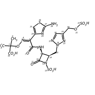 CC(C)(O/N=C(\C(=O)N[C@@H]1C(=O)N(S(=O)(=O)O)[C@@H]1Cn1ncc(COS(=O)(=O)O)n1)c1csc(N)n1)C(=O)O